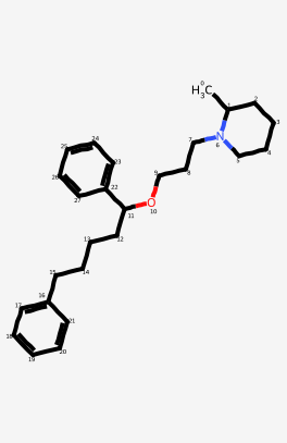 CC1CCCCN1CCCOC(CCCCc1ccccc1)c1ccccc1